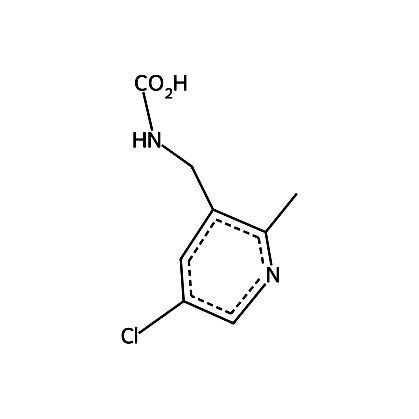 Cc1ncc(Cl)cc1CNC(=O)O